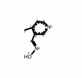 Cc1ccncc1C=NO